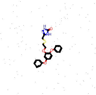 O=c1[nH]nc(CSCCOc2cc(Oc3ccccc3)ccc2Oc2ccccc2)[nH]1